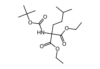 CCOC(=O)C(CCC(C)C)(NC(=O)OC(C)(C)C)C(=O)OCC